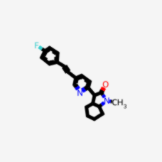 CN1C(=O)C(c2ccc(C#Cc3ccc(F)cc3)cn2)C2CCCCC21